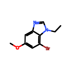 CCn1cnc2cc(OC)cc(Br)c21